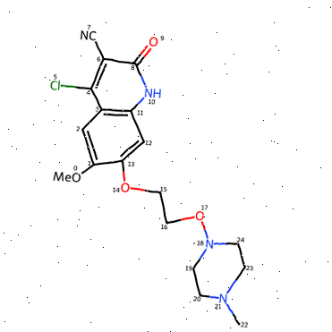 COc1cc2c(Cl)c(C#N)c(=O)[nH]c2cc1OCCON1CCN(C)CC1